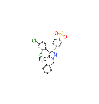 CS(=O)(=O)c1ccc(-c2nn(Cc3ccccc3)c(C(F)(F)F)c2-c2ccc(Cl)cc2Cl)cc1